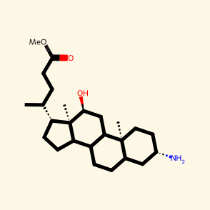 COC(=O)CCC(C)[C@H]1CCC2C3CCC4C[C@@H](N)CC[C@]4(C)C3C[C@H](O)[C@@]21C